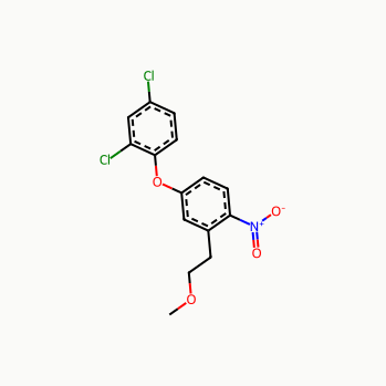 COCCc1cc(Oc2ccc(Cl)cc2Cl)ccc1[N+](=O)[O-]